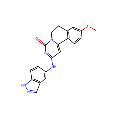 COc1ccc2c(c1)CCn1c-2cc(Nc2ccc3[nH]ncc3c2)nc1=O